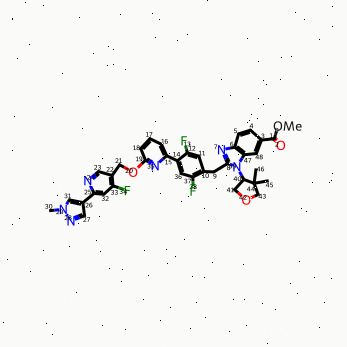 COC(=O)c1ccc2nc(Cc3cc(F)c(-c4cccc(OCc5cnc(-c6cnn(C)c6)cc5F)n4)cc3F)n(C3COCC3(C)C)c2c1